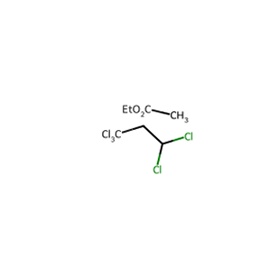 CCOC(C)=O.ClC(Cl)CC(Cl)(Cl)Cl